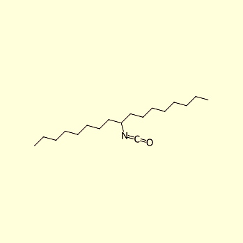 CCCCCCCCC(CCCCCCCC)N=C=O